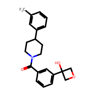 O=C(c1cccc(C2(O)COC2)c1)N1CCC(c2cccc(C(F)(F)F)c2)CC1